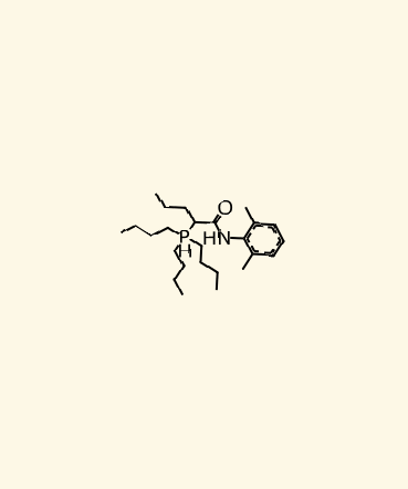 CCCC[PH](CCCC)(CCCC)C(CCC)C(=O)Nc1c(C)cccc1C